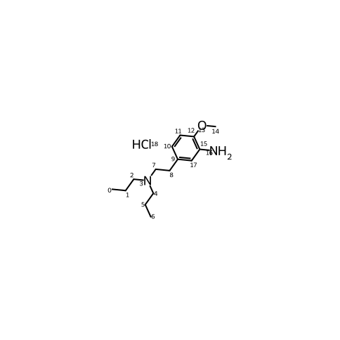 CCCN(CCC)CCc1ccc(OC)c(N)c1.Cl